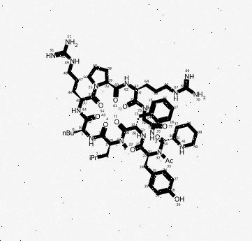 CCCC[C@H](NC(=O)[C@H](CC(C)C)N(C)C(=O)[C@H](Cc1ccccc1)NC(=O)[C@H](Cc1ccc(O)cc1)N(C(C)=O)C(=O)[C@@H]1CCCCN1)C(=O)N[C@@H](CCCNC(=N)N)C(=O)N1CCC[C@H]1C(=O)N[C@@H](CCCNC(=N)N)C(=O)NCC(N)=O